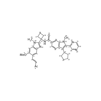 COc1cc2c(cc1/C=C/C(C)=O)nc(C1(NC(=O)c3ccc4c(C5CCCC5)c(-c5cnccn5)n(C)c4c3)CCC1)n2C